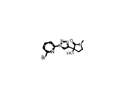 CN1CCC(O)(c2cn(-c3cccc(Br)n3)nn2)C1=O